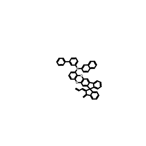 C=C/C=C1\C(=C)c2ccccc2C12c1ccccc1-c1cc3c(cc12)Oc1cccc(N(c2cccc(-c4ccccc4)c2)c2ccc4ccccc4c2)c1O3